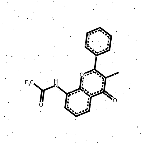 Cc1c(-c2ccccc2)oc2c(NC(=O)C(F)(F)F)cccc2c1=O